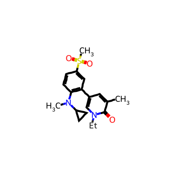 CCn1cc(-c2cc(S(C)(=O)=O)ccc2N(C)C2CC2)cc(C)c1=O